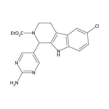 CCOC(=O)N1CCc2c([nH]c3ccc(Cl)cc23)C1c1cnc(N)nc1